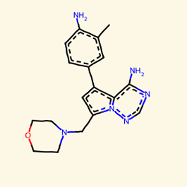 Cc1cc(-c2cc(CN3CCOCC3)n3ncnc(N)c23)ccc1N